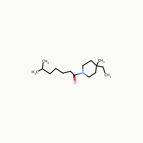 CCC1(C)CCN(C(=O)CCCCC(C)C)CC1